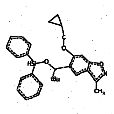 Cc1noc2cc(OCC3CC3)c(C(O[SiH](c3ccccc3)c3ccccc3)C(C)(C)C)cc12